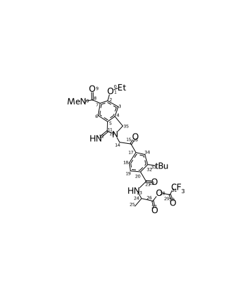 CCOc1cc2c(cc1C(=O)NC)C(=N)N(CC(=O)c1ccc(C(=O)NC(C)C(=O)OC(=O)C(F)(F)F)c(C(C)(C)C)c1)C2